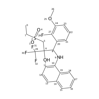 CCS(=O)(=O)CC(O)(C(Nc1cccc2ccccc12)c1cccc(OC)c1F)C(F)(F)F